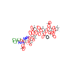 COCC1O[C@@H](O[C@H]2C(C)C(C)[C@@H](O[C@H]3C(C)C(OC)[C@H](O[C@@H]4C(COC(C)=O)OC(OC(=N)C(Cl)(Cl)Cl)C(N=[N+]=[N-])[C@H]4C)O[C@H]3COC)O[C@H]2COC)C(OC)[C@@H](C)[C@@H]1O[C@@H]1OC(COC(=O)c2ccccc2)[C@@H](O[C@@H]2O[C@@H](COC(C)=O)[C@@H](O[C@H]3O[C@@H](COC(C)=O)[C@@H](C)C(C)C3C)C(C)C2OC(C)=O)[C@H](C)C1C